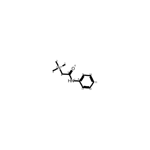 C[N+](C)(C)CC(=O)Nc1ccccc1